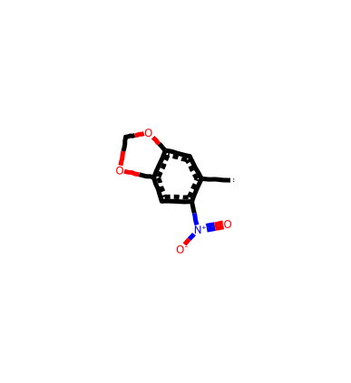 [CH]c1cc2c(cc1[N+](=O)[O-])OCO2